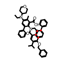 CCN(c1cc(-c2ccccc2)c(N(Cc2ccccc2)C(=O)c2cc(C(C)C)c(OCc3ccccc3)cc2OCc2ccccc2)c(C(=O)O)c1C)C1CCOCC1